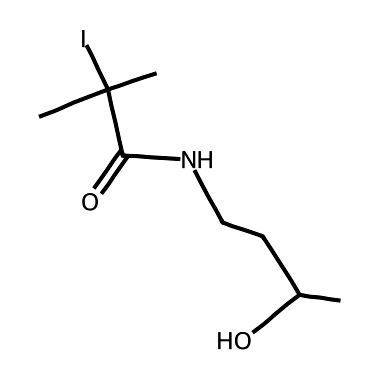 CC(O)CCNC(=O)C(C)(C)I